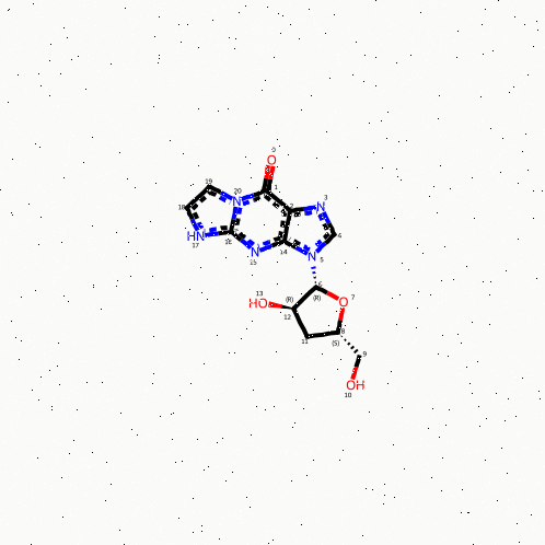 O=c1c2ncn([C@@H]3O[C@H](CO)C[C@H]3O)c2nc2[nH]ccn12